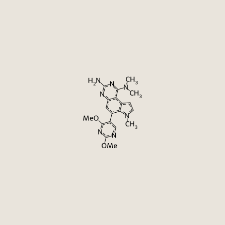 COc1ncc(-c2cc3nc(N)nc(N(C)C)c3c3ccn(C)c23)c(OC)n1